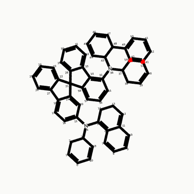 C1=CCC(N(C2=c3ccccc3=CCC2)c2ccc3c(c2)C2(c4ccccc4-3)c3ccccc3-c3c(N(C4CC=CCC4)C4C=CC=CC4c4ccccc4)cccc32)C=C1